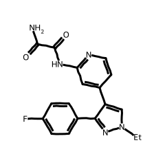 CCn1cc(-c2ccnc(NC(=O)C(N)=O)c2)c(-c2ccc(F)cc2)n1